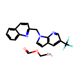 CCOC=O.FC(F)(F)c1cnc2c(ccn2Cc2ccc3ccccc3n2)c1